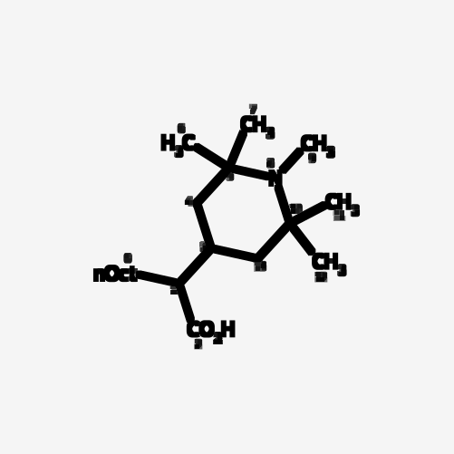 CCCCCCCCC(C(=O)O)C1CC(C)(C)N(C)C(C)(C)C1